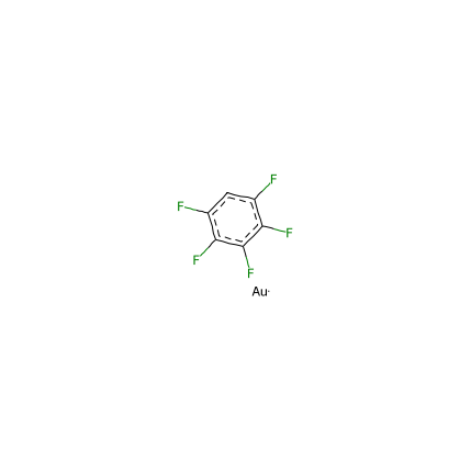 Fc1cc(F)c(F)c(F)c1F.[Au]